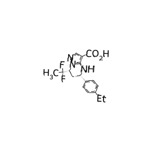 CCc1ccc([C@@H]2C[C@H](C(C)(F)F)n3ncc(C(=O)O)c3N2)cc1